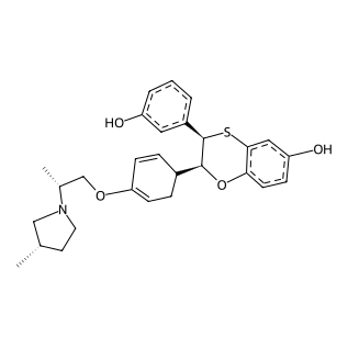 C[C@H]1CCN([C@H](C)COC2=CCC([C@@H]3Oc4ccc(O)cc4S[C@@H]3c3cccc(O)c3)C=C2)C1